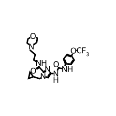 O=C(Nc1ccc(OC(F)(F)F)cc1)Nc1cn(CC2CC2)c(C(=O)NCCCN2CCOCC2)n1